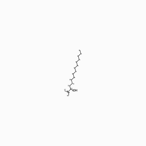 CCCCCCCCCCCCCC(O)N(C)C